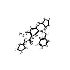 Nc1cc(OC2CCCC2OCc2ccccc2)ccc1C(=O)OC1CCCC1